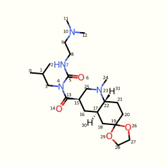 CC(C)CN(C(=O)NCCN(C)C)C(=O)[C@@H]1C[C@@H]2CC3(CC[C@H]2N(C)C1)OCCO3